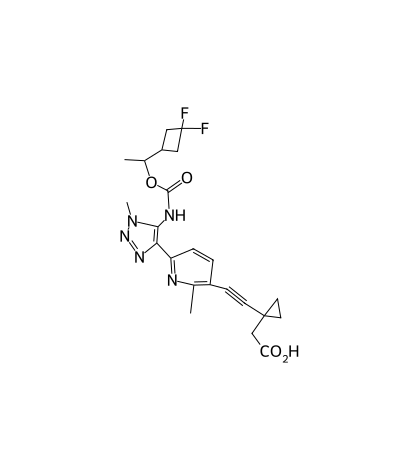 Cc1nc(-c2nnn(C)c2NC(=O)OC(C)C2CC(F)(F)C2)ccc1C#CC1(CC(=O)O)CC1